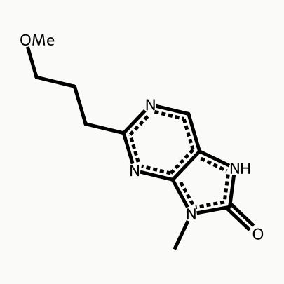 COCCCc1ncc2[nH]c(=O)n(C)c2n1